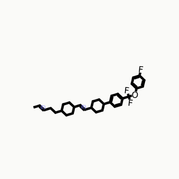 C/C=C/CCC1CCC(/C=C/C2CCC(c3ccc(C(F)(F)Oc4ccc(F)cc4)cc3)CC2)CC1